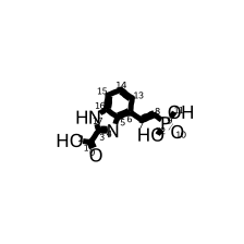 O=C(O)c1nc2c(/C=C/P(=O)(O)O)cccc2[nH]1